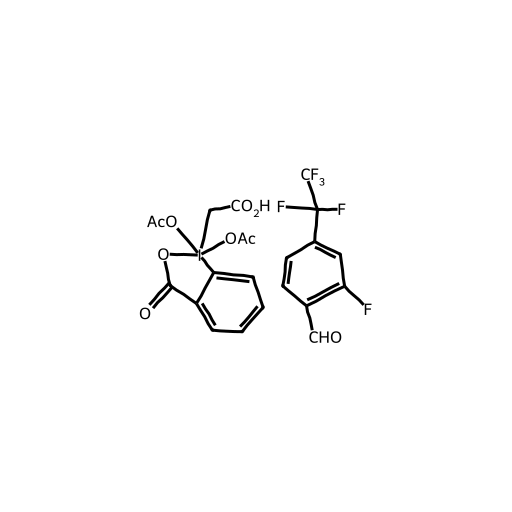 CC(=O)OI1(CC(=O)O)(OC(C)=O)OC(=O)c2ccccc21.O=Cc1ccc(C(F)(F)C(F)(F)F)cc1F